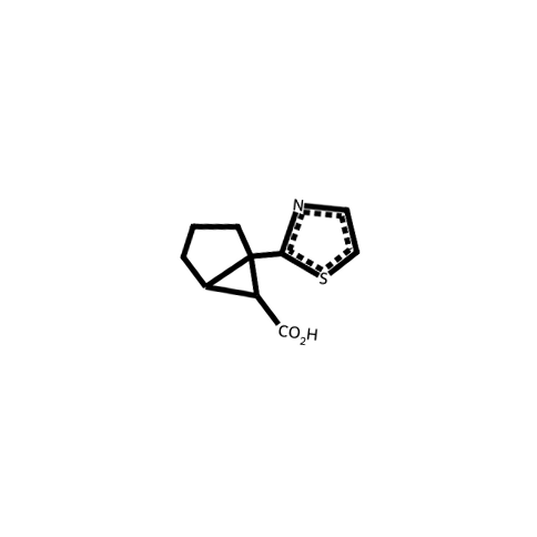 O=C(O)C1C2CCCC21c1nccs1